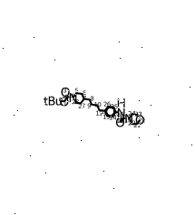 CC(C)(C)OC(=O)N1CCC(CCCCc2ccc(NC(=O)N3CCOCC3)cc2)CC1